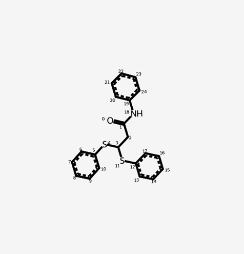 O=C(CC(Sc1ccccc1)Sc1ccccc1)Nc1ccccc1